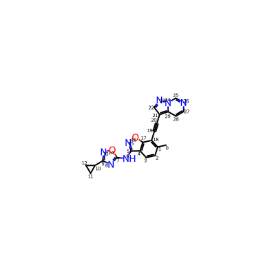 Cc1ccc2c(Nc3nc(C4CC4)no3)noc2c1C#Cc1cnn2cnccc12